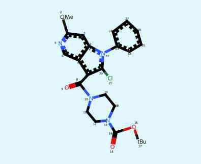 COc1cc2c(cn1)c(C(=O)N1CCN(C(=O)OC(C)(C)C)CC1)c(Cl)n2-c1ccccc1